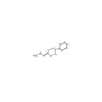 COC=C1CCC(c2ccccc2)CC1